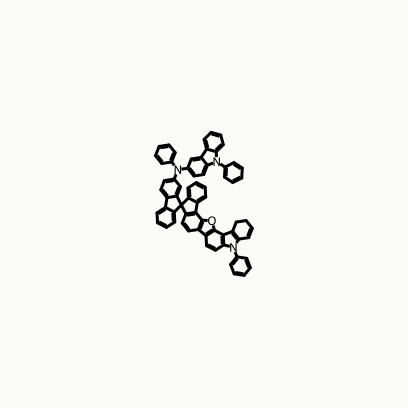 C1=Cc2c(c3c4oc5c6c(ccc5c4ccc3n2-c2ccccc2)C2(c3ccccc3-c3ccc(N(c4ccccc4)c4ccc5c(c4)c4ccccc4n5-c4ccccc4)cc32)c2ccccc2-6)CC1